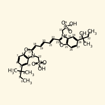 CCC(C)(C)c1ccc2c(c1)N(CS(=O)(=O)O)C(=CC=CC=Cc1oc3ccc(C(C)(C)CC)cc3[n+]1CS(=O)(=O)O)O2